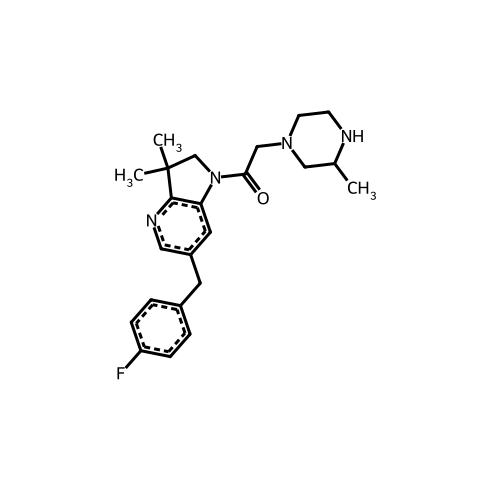 CC1CN(CC(=O)N2CC(C)(C)c3ncc(Cc4ccc(F)cc4)cc32)CCN1